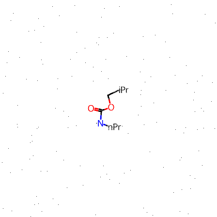 CCC[N]C(=O)OCC(C)C